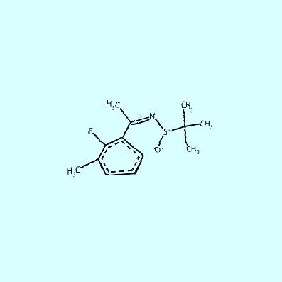 C/C(=N/[S+]([O-])C(C)(C)C)c1cccc(C)c1F